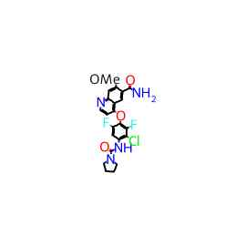 COc1cc2nccc(Oc3c(F)cc(NC(=O)N4CCCC4)c(Cl)c3F)c2cc1C(N)=O